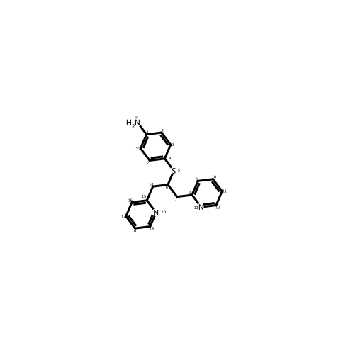 Nc1ccc(SC(Cc2ccccn2)Cc2ccccn2)cc1